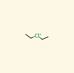 CC[Cl+]CC